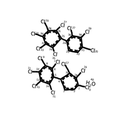 Clc1ccc(-c2c(Cl)c(Cl)c(Cl)c(Cl)c2Cl)c(Cl)c1Cl.Clc1ccc(-c2c(Cl)c(Cl)c(Cl)c(Cl)c2Cl)c(Cl)c1Cl.O